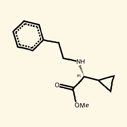 COC(=O)[C@H](NCCc1ccccc1)C1CC1